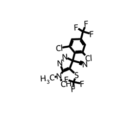 CN(C)C1=C(SC(F)(F)F)C(C#N)(c2c(Cl)cc(C(F)(F)F)cc2Cl)N=N1